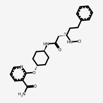 NC(=O)c1cccnc1O[C@H]1CC[C@H](NC(=O)C[C@H](CCc2ccccc2)NCl)CC1